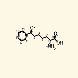 NC(CCCCC(=O)c1ccncc1)C(=O)O